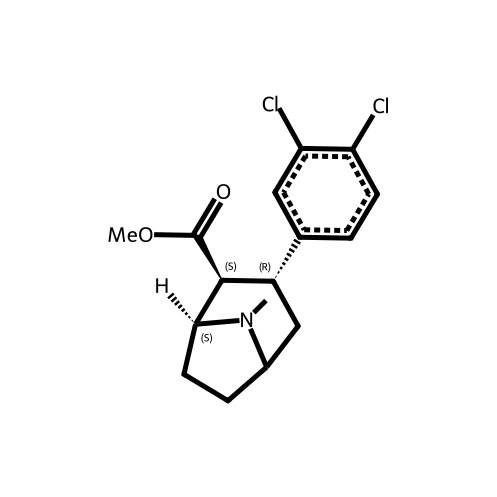 COC(=O)[C@H]1[C@H](c2ccc(Cl)c(Cl)c2)CC2CC[C@@H]1N2C